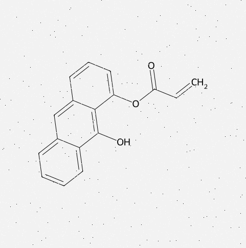 C=CC(=O)Oc1cccc2cc3ccccc3c(O)c12